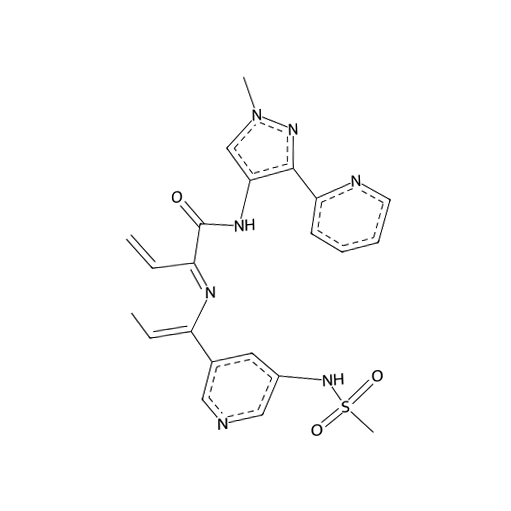 C=C/C(=N\C(=C/C)c1cncc(NS(C)(=O)=O)c1)C(=O)Nc1cn(C)nc1-c1ccccn1